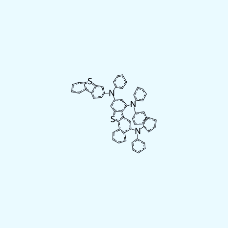 c1ccc(N(c2ccc3c(c2)sc2ccccc23)c2cc(N(c3ccccc3)c3ccccc3)c3c(c2)sc2c4ccccc4c(N(c4ccccc4)c4ccccc4)cc23)cc1